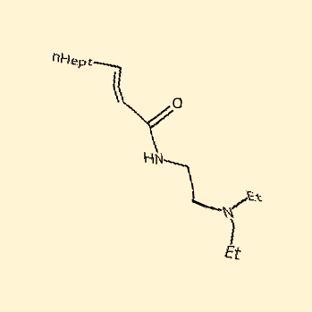 CCCCCCC/C=C/C(=O)NCCN(CC)CC